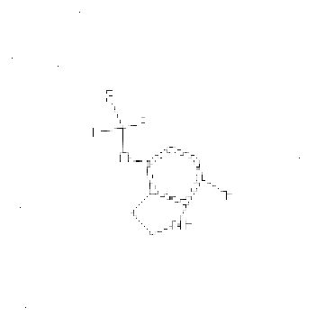 Fc1ccc(OC(F)(F)F)c2c1NCC2